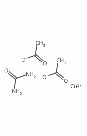 CC(=O)[O-].CC(=O)[O-].NC(N)=O.[Cu+2]